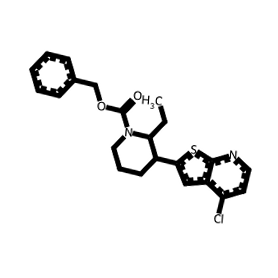 CCC1C(c2cc3c(Cl)ccnc3s2)CCCN1C(=O)OCc1ccccc1